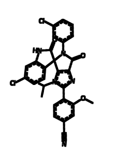 COc1cc(C#N)ccc1-c1nc2c(n1C(C)C)C1(C(=O)Nc3cc(Cl)ccc31)N(c1cccc(Cl)c1)C2=O